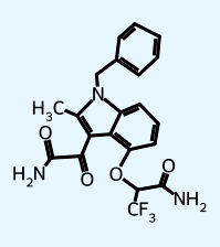 Cc1c(C(=O)C(N)=O)c2c(OC(C(N)=O)C(F)(F)F)cccc2n1Cc1ccccc1